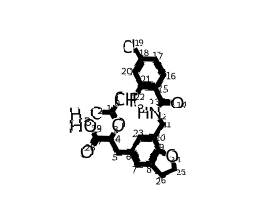 CC(C)OC(Cc1cc2c(c(CNC(=O)c3ccc(Cl)cc3F)c1)OCC2)C(=O)O